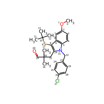 COc1ccc2c(c1)c(SC(C)(C)C)c(CC(C)(C)C=O)n2Cc1ccc(Cl)cc1